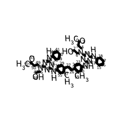 CC(=O)CCN(CCO)c1nc(Nc2ccccc2)nc(Nc2ccc(C=Cc3ccc(Nc4nc(Nc5ccccc5)nc(N(CCO)CCC(C)=O)n4)cc3C)c(C)c2)n1